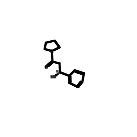 O=C(C[C@@H](O)c1ccccc1)N1CCCC1